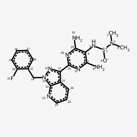 CN(C)[S+]([O-])Nc1c(N)nc(-c2nn(Cc3ccccc3F)c3ncccc23)nc1N